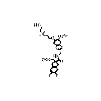 COc1cc2sc(CNC(=O)C3(CC(=O)[O-])Cc4cc(F)c(F)cc4C3)nc2cc1OCCC[N+](C)(C)CCO